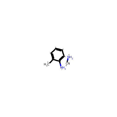 Cc1ccccc1N.N#CN